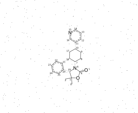 CC1(C)OC(=O)N([C@H]2CC[C@@H](c3cccnc3)CC2)[C@H]1c1ccccc1